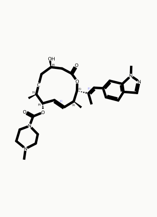 C/C(=C\c1ccc2cnn(C)c2c1)[C@H]1OC(=O)C[C@H](O)CC[C@H](C)[C@@H](OC(=O)N2CCN(C)CC2)/C=C/[C@@H]1C